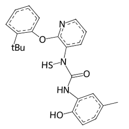 Cc1ccc(O)c(NC(=O)N(S)c2cccnc2Oc2ccccc2C(C)(C)C)c1